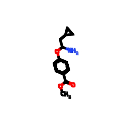 COC(=O)c1ccc(OC(N)CC2CC2)cc1